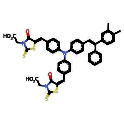 Cc1ccc(C(=Cc2ccc(N(c3ccc(/C=C4\SC(=S)N(CC(=O)O)C4=O)cc3)c3ccc(/C=C4/SC(=S)N(CC(=O)O)C4=O)cc3)cc2)c2ccccc2)cc1C